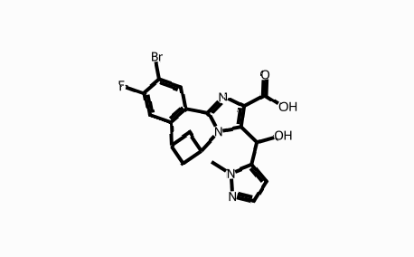 Cn1nccc1C(O)c1c(C(=O)O)nc2n1C1CC(C1)c1cc(F)c(Br)cc1-2